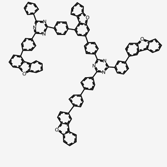 c1ccc(-c2nc(-c3ccc(-c4cccc5oc6ccccc6c45)cc3)nc(-c3ccc(-c4cc(-c5ccc(-c6nc(-c7ccc(-c8ccc(-c9ccc%10oc%11ccccc%11c%10c9)cc8)cc7)nc(-c7cccc(-c8ccc9oc%10ccccc%10c9c8)c7)n6)cc5)cc5oc6ccccc6c45)cc3)n2)cc1